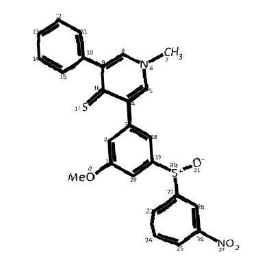 COc1cc(-c2cn(C)cc(-c3ccccc3)c2=S)cc([S+]([O-])c2cccc([N+](=O)[O-])c2)c1